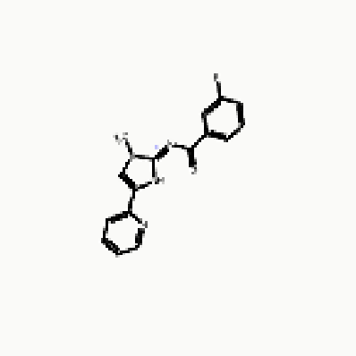 Cn1cc(-c2ccccn2)[nH]/c1=N\C(=O)c1cccc(F)c1